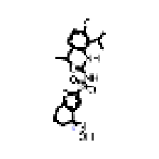 CC(C)c1ccc(Cl)c(C(C)C)c1NC(=O)NS(=O)(=O)c1cc2c(o1)CCC/C2=N\O